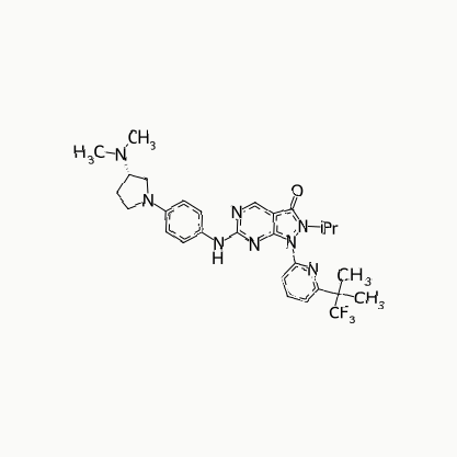 CC(C)n1c(=O)c2cnc(Nc3ccc(N4CC[C@H](N(C)C)C4)cc3)nc2n1-c1cccc(C(C)(C)C(F)(F)F)n1